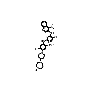 COc1cc(N2CCC(N3CCCN(C)CC3)CC2)c(C(C)=O)cc1Nc1ncc(Br)c(Nc2cnc3ccccc3c2P(C)C)n1